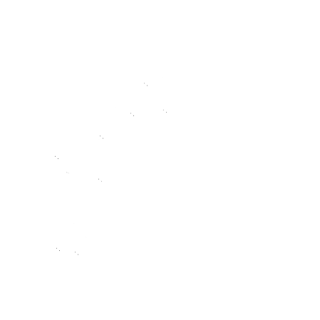 Cn1cc(-c2cnc3c(N4CCN(c5ncc(C(=O)c6ccc(F)cc6)cn5)CC4)cnn3c2)cn1